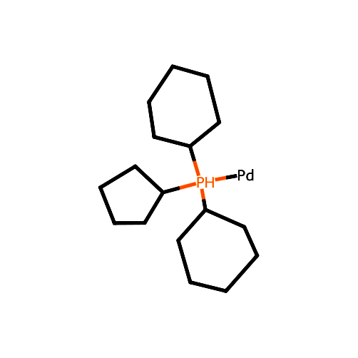 [Pd][PH](C1CCCCC1)(C1CCCCC1)C1CCCC1